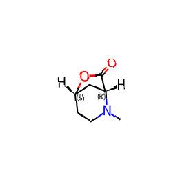 CN1CC[C@H]2C[C@@H]1C(=O)O2